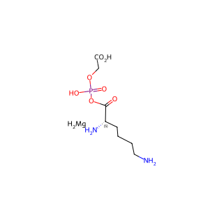 NCCCC[C@H](N)C(=O)OP(=O)(O)OCC(=O)O.[MgH2]